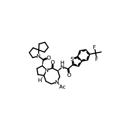 CC(=O)N1CC[C@H]2CC[C@@H](C(=O)N3CCCC34CCCC4)N2C(=O)[C@@H](NC(=O)c2cc3cc(C(C)(F)F)ccc3s2)C1